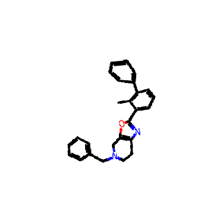 Cc1c(-c2ccccc2)cccc1-c1nc2c(o1)CN(Cc1ccccc1)CC2